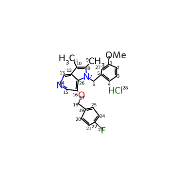 COc1cccc(Cn2c(C)c(C)c3cncc(OCc4ccc(F)cc4)c32)c1.Cl